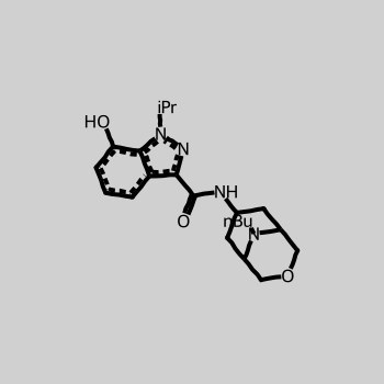 CCCCN1C2COCC1CC(NC(=O)c1nn(C(C)C)c3c(O)cccc13)C2